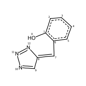 Oc1ccccc1C=C1C=NN=N1